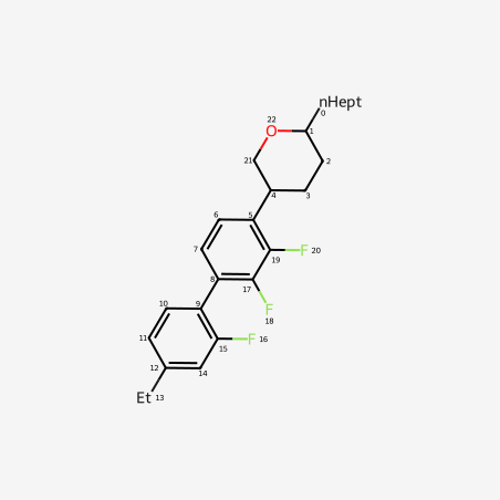 CCCCCCCC1CCC(c2ccc(-c3ccc(CC)cc3F)c(F)c2F)CO1